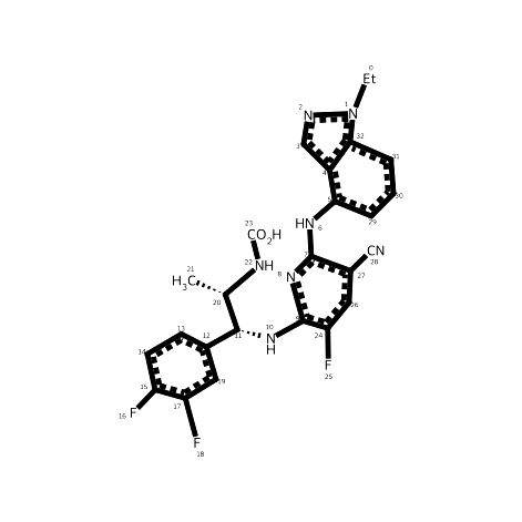 CCn1ncc2c(Nc3nc(N[C@H](c4ccc(F)c(F)c4)[C@H](C)NC(=O)O)c(F)cc3C#N)cccc21